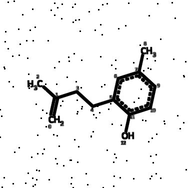 C=C(C)CCc1cc(C)ccc1O